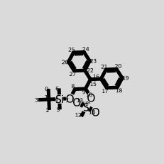 CC(C)(C)[Si](C)(C)OCC(OS(C)(=O)=O)C(c1ccccc1)c1ccccc1